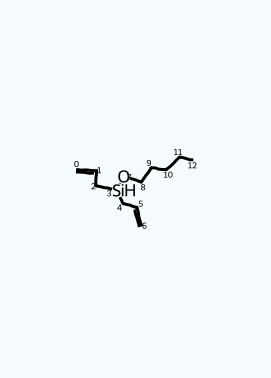 C=CC[SiH](CC=C)OCCCCC